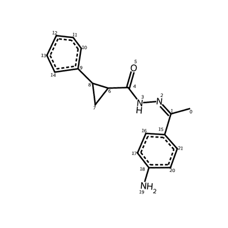 CC(=NNC(=O)C1CC1c1ccccc1)c1ccc(N)cc1